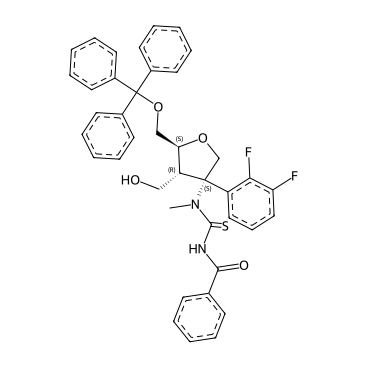 CN(C(=S)NC(=O)c1ccccc1)[C@@]1(c2cccc(F)c2F)CO[C@H](COC(c2ccccc2)(c2ccccc2)c2ccccc2)[C@H]1CO